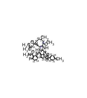 C=C1/C=C(OC)\C(Nc2nc(Nc3cccc(F)c3C(N)=O)c3ccn(S(=O)(=O)c4ccc(C)cc4)c3n2)=C/CN(C(=O)CN(C)C)CC1